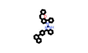 C1=CC2=C(c3ccc(-c4cccc5ccccc45)cc3)N=C(n3c4ccccc4c4c5c(ccc43)C=Cc3ccccc3O5)NC2C=C1